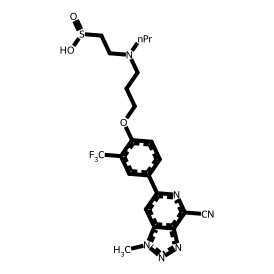 CCCN(CCCOc1ccc(-c2cc3c(nnn3C)c(C#N)n2)cc1C(F)(F)F)CCS(=O)O